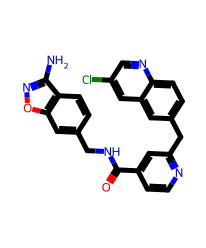 Nc1noc2cc(CNC(=O)c3ccnc(Cc4ccc5ncc(Cl)cc5c4)c3)ccc12